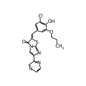 CCCOc1cc(/C=c2\sc3nc(-c4cnccn4)cn3c2=O)cc(Cl)c1O